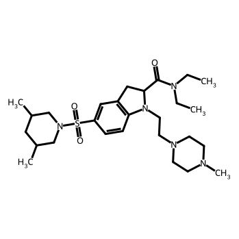 CCN(CC)C(=O)C1Cc2cc(S(=O)(=O)N3CC(C)CC(C)C3)ccc2N1CCN1CCN(C)CC1